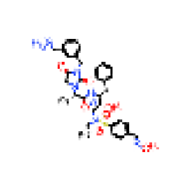 CC(C)CN(C[C@@H](O)[C@H](Cc1ccccc1)NC(=O)[C@H](C(C)C)N1CC(=O)N(Cc2cccc(CN)c2)C1=O)S(=O)(=O)c1ccc(/C=N/O)cc1